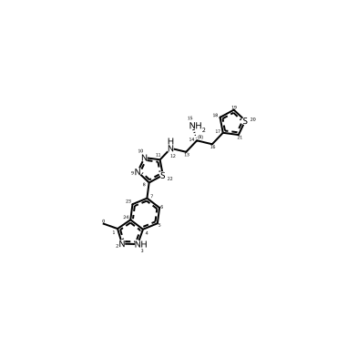 Cc1n[nH]c2ccc(-c3nnc(NC[C@H](N)Cc4ccsc4)s3)cc12